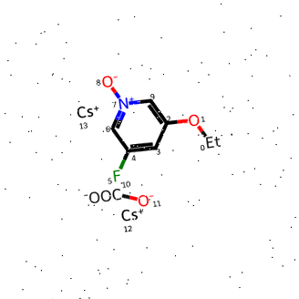 CCOc1cc(F)c[n+]([O-])c1.O=C([O-])[O-].[Cs+].[Cs+]